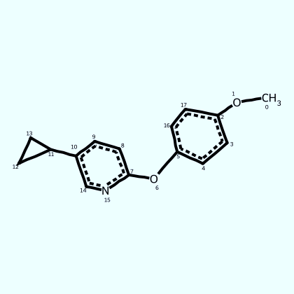 COc1ccc(Oc2ccc(C3CC3)cn2)cc1